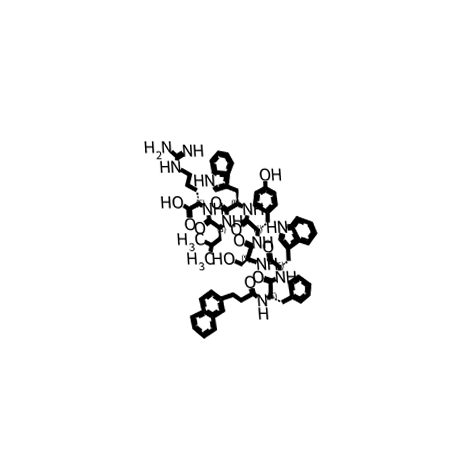 CC(C)C[C@H](NC(=O)[C@@H](Cc1c[nH]c2ccccc12)NC(=O)[C@H](Cc1ccc(O)cc1)NC(=O)[C@H](CO)NC(=O)[C@H](Cc1c[nH]c2ccccc12)NC(=O)[C@H](Cc1ccccc1)NC(=O)CCc1ccc2ccccc2c1)C(=O)N[C@@H](CCCNC(=N)N)C(=O)O